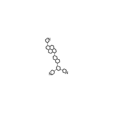 c1cncc(-c2ccc3ccc4c(-c5ccc6cc(-c7cc(-c8ccncc8)cc(-c8ccncc8)c7)ccc6c5)ccc5ccc2c3c54)c1